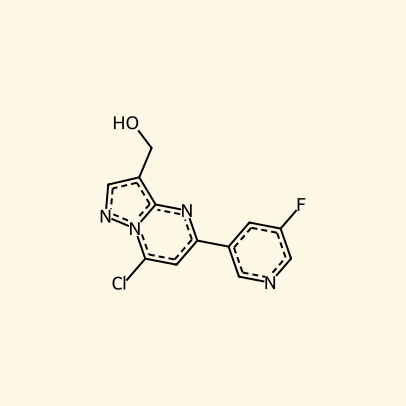 OCc1cnn2c(Cl)cc(-c3cncc(F)c3)nc12